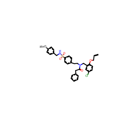 C=CCOc1ccc(Cl)cc1CN(CCc1ccc(S(=O)(=O)NCc2ccc(OC)cc2)cc1)C(=O)Cc1ccccc1